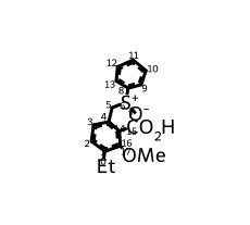 CCc1ccc(C[S+]([O-])c2ccccc2)c(C(=O)O)c1OC